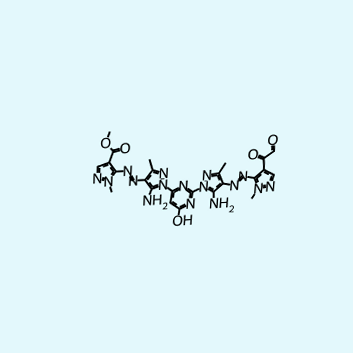 COC(=O)c1cnn(C)c1/N=N/c1c(C)nn(-c2cc(O)nc(-n3nc(C)c(/N=N/c4c(C(=O)C=O)cnn4C)c3N)n2)c1N